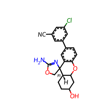 N#Cc1cc(Cl)cc(-c2ccc3c(c2)C2(COC(N)=N2)[C@H]2CCC(O)CC2O3)c1